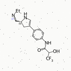 CC/N=C\[C@@H]1CC(c2ccc(NC(=O)C(O)C(F)(F)F)cc2)=CN1